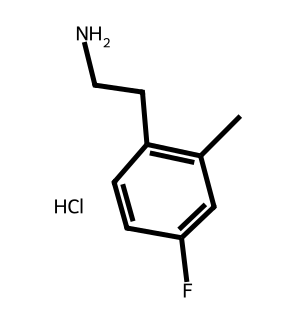 Cc1cc(F)ccc1CCN.Cl